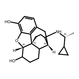 C[C@@H](NC1CC[C@]23c4c5ccc(O)c4O[C@H]2C(O)CCC3[C@H]1C5)C1CC1